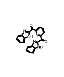 O=C(c1cccc(C(=O)c2nc3ccccc3[nH]2)n1)c1nc2ccccc2[nH]1